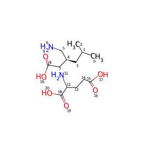 CC(C)C[C@H](CN)CC(=O)O.NC(CCC(=O)O)C(=O)O